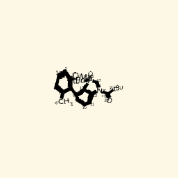 COc1cccc(C)c1-c1cccc2c1P(=O)(C(C)(C)C)CN2C(=O)C(C)(C)C